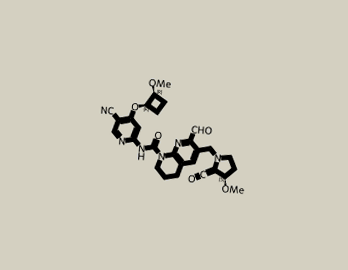 CO[C@H]1CCN(Cc2cc3c(nc2C=O)N(C(=O)Nc2cc(O[C@@H]4CC[C@H]4OC)c(C#N)cn2)CCC3)C1=C=O